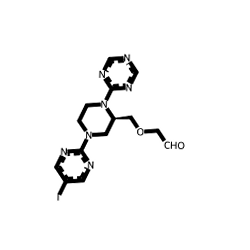 O=CCOC[C@H]1CN(c2ncc(I)cn2)CCN1c1ncncn1